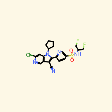 N#Cc1c(-c2ccc(S(=O)(=O)NC(CF)CF)cn2)n(C2CCCC2)c2cc(Cl)ncc12